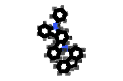 c1ccc(-n2c3ccccc3c3c4c5ccccc5n(-c5cccc6c5-c5ccccc5C6)c4ccc32)cc1